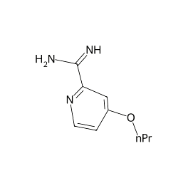 CCCOc1ccnc(C(=N)N)c1